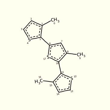 Cc1ccsc1-c1cc(C)c(-c2sccc2C)s1